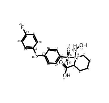 O=C(O)C1CCCC[N+]1(NO)S(=O)(=O)c1ccc(Sc2ccc(F)cc2)cc1